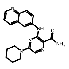 NC(=O)c1ncc(N2CCCCC2)nc1Nc1ccc2ncccc2c1